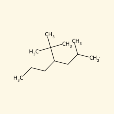 [CH2]C(C)CC(CCC)C(C)(C)C